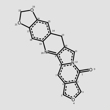 O=c1c2cocc2cc2c3c(cn12)Cc1cc2c(cc1N=3)OCO2